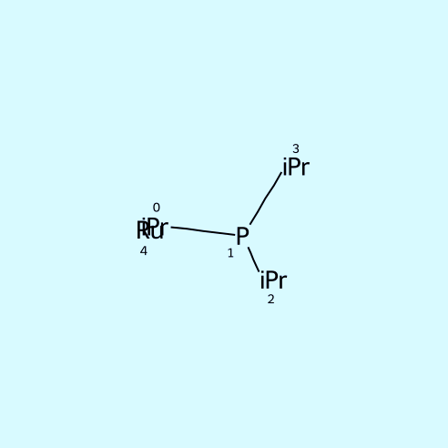 CC(C)P(C(C)C)C(C)C.[Ru]